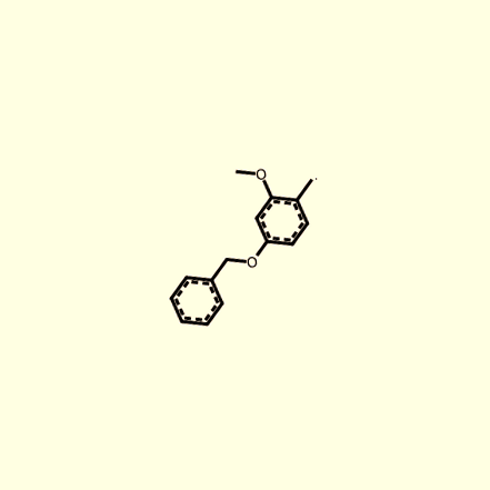 [CH2]c1ccc(OCc2ccccc2)cc1OC